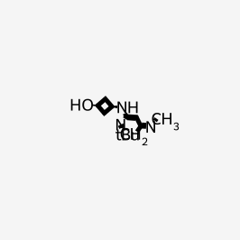 C=N/C(=C\C(=N/C)C(C)(C)C)N[C@H]1C[C@H](O)C1